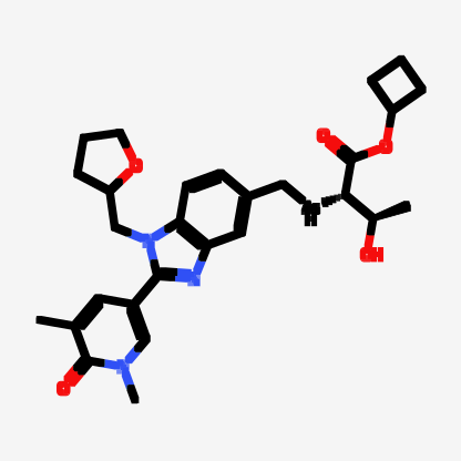 Cc1cc(-c2nc3cc(C[AsH][C@H](C(=O)OC4CCC4)[C@@H](C)O)ccc3n2CC2CCCO2)cn(C)c1=O